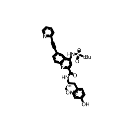 COC[C@@H](Cc1ccc(O)cc1)NC(=O)c1cc(NS(=O)(=O)C(C)(C)C)c2cc(C#Cc3ccccn3)ccc2n1